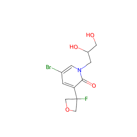 O=c1c(C2(F)COC2)cc(Br)cn1CC(O)CO